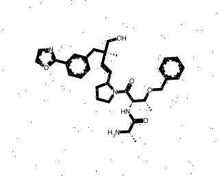 C[C@H](N)C(=O)N[C@H](C(=O)N1CCCC1/C=C/[C@](C)(CO)Cc1cccc(-c2ncco2)c1)[C@@H](C)OCc1ccccc1